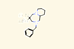 CCCCC1([N+](=O)[O-])CN(Cc2ccccc2)CC2CCCCN2C1